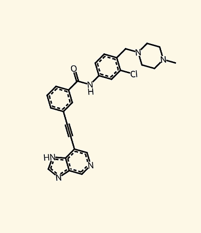 CN1CCN(Cc2ccc(NC(=O)c3cccc(C#Cc4cncc5nc[nH]c45)c3)cc2Cl)CC1